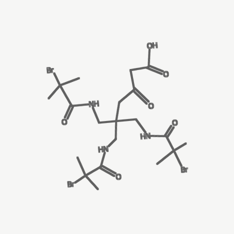 CC(C)(Br)C(=O)NCC(CNC(=O)C(C)(C)Br)(CNC(=O)C(C)(C)Br)CC(=O)CC(=O)O